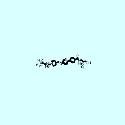 CC(C)c1noc(N2CCC(COc3ccc(C4=CCC(C(=O)NC[C@H](O)CO)CC4)nc3)CC2)n1